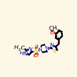 COc1cccc(Cc2csc(N3CCN(S(=O)(=O)c4c[nH]c(C)n4)CC3)n2)c1